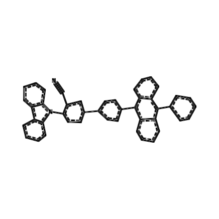 N#Cc1cc(-c2ccc(-c3c4ccccc4c(-c4ccccc4)c4ccccc34)cc2)ccc1-n1c2ccccc2c2ccccc21